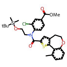 COC(=O)c1ccc(N(CCO[Si](C)(C)C(C)(C)C)C(=O)c2cc3c(s2)-c2c(C)cccc2OCC3)c(Cl)c1